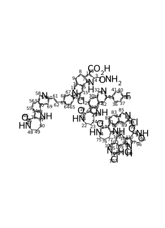 Cl.NOCc1[nH]c2c(ccc3cnc(Cl)cc32)c1C(=O)O.O=C1NCCCc2[nH]c3c(ccc4cnc(-c5ccc(F)cc5)cc43)c21.O=C1NCCCc2[nH]c3c(ccc4cnc(C=Cc5ccccc5)cc43)c21.O=C1NCCCc2[nH]c3c(ccc4cnc(Cl)cc43)c21.O=C1NOCc2[nH]c3c(ccc4cnc(Cl)cc43)c21